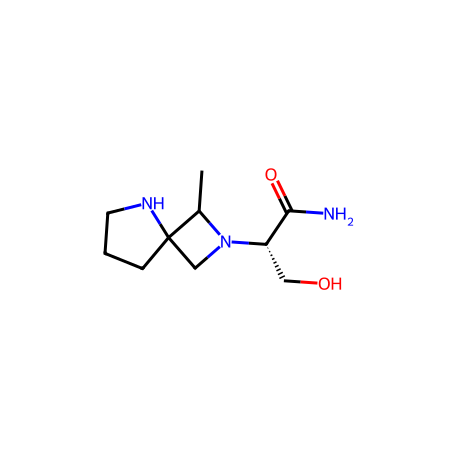 CC1N([C@@H](CO)C(N)=O)CC12CCCN2